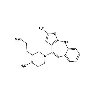 COCCC1CN(C2=Nc3ccccc3Nc3sc(C(F)(F)F)cc32)CCN1C